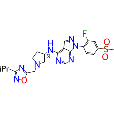 CC(C)c1noc(CN2CC[C@H](Nc3ncnc4c3cnn4-c3ccc(S(C)(=O)=O)cc3F)C2)n1